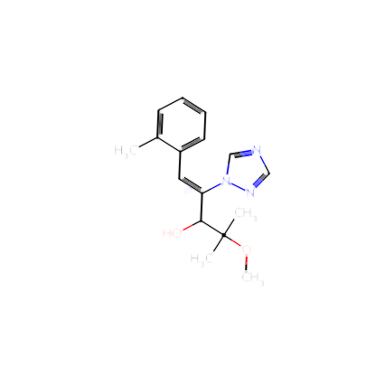 COC(C)(C)C(O)/C(=C/c1ccccc1C)n1cncn1